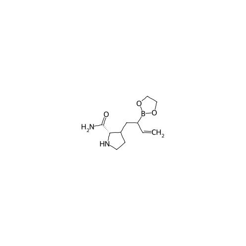 C=CC(CC1CCN[C@@H]1C(N)=O)B1OCCO1